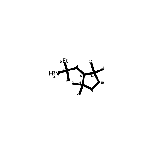 CCC(C)(N)CC1C(C)(C)CCC1(C)C